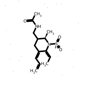 C=C/C=C1/CC(CNC(C)=O)[C@@H](C)N([SH](=O)=O)/C1=C/C